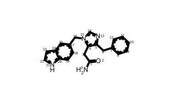 NC(=O)Cc1c(Cc2ccccc2)ncn1Cc1ccc2[nH]ccc2c1